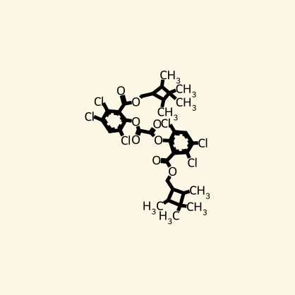 CC1C(COC(=O)c2c(Cl)c(Cl)cc(Cl)c2OC(=O)C(=O)Oc2c(Cl)cc(Cl)c(Cl)c2C(=O)OCC2C(C)C(C)(C)C2C)C(C)C1(C)C